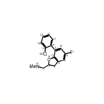 CNCC1Cc2cc(F)cc(-c3ccccc3Cl)c2O1